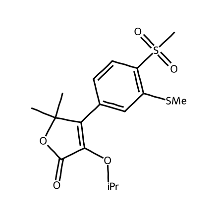 CSc1cc(C2=C(OC(C)C)C(=O)OC2(C)C)ccc1S(C)(=O)=O